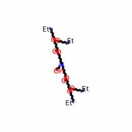 CC/C=C\CCCCOC(CCCCC(=O)OCCCCCCN(CCCO)CCCCCCOC(=O)CCCCC(OCCCC/C=C\CC)OCCCC/C=C\CC)OCCCC/C=C\CC